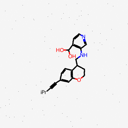 CC(C)C#Cc1ccc2c(c1)OCCC2CNc1cnccc1C(O)O